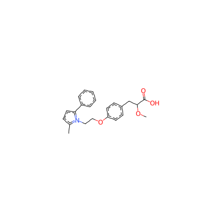 COC(Cc1ccc(OCCn2c(C)ccc2-c2ccccc2)cc1)C(=O)O